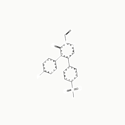 C=Cn1ncc(-c2ccc(S(C)(=O)=O)cc2)c(-c2ccc(F)cc2)c1=O